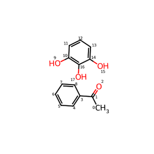 CC(=O)c1ccccc1.Oc1cccc(O)c1O